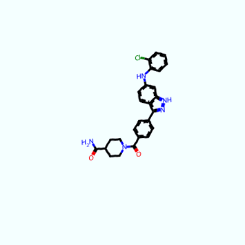 NC(=O)C1CCN(C(=O)c2ccc(-c3n[nH]c4cc(Nc5ccccc5Cl)ccc34)cc2)CC1